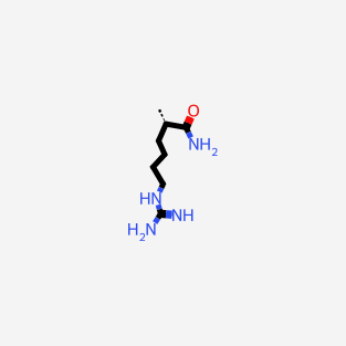 C[C@@H](CCCCNC(=N)N)C(N)=O